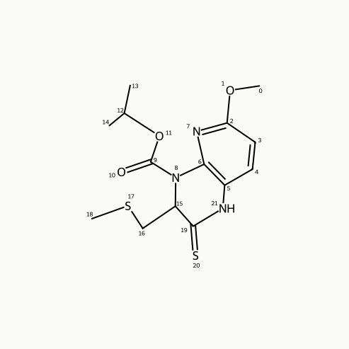 COc1ccc2c(n1)N(C(=O)OC(C)C)C(CSC)C(=S)N2